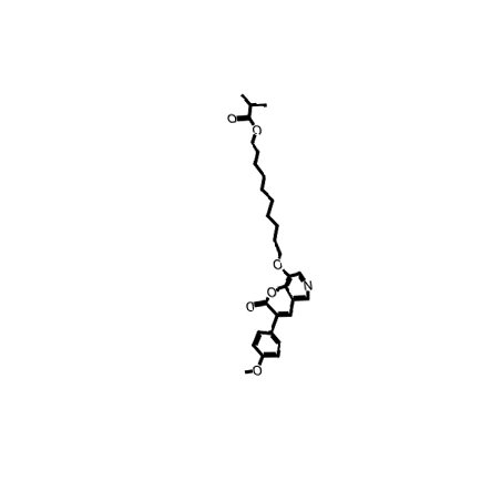 COc1ccc(-c2cc3cncc(OCCCCCCCCCCOC(=O)C(C)C)c3oc2=O)cc1